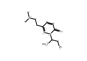 CC(C)CC(C(=O)O)n1nc(CCN(C)C)ccc1=O